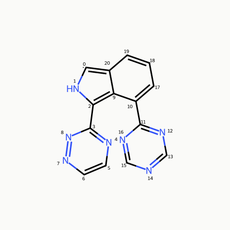 [c]1[nH]c(-c2nccnn2)c2c(-c3ncncn3)cccc12